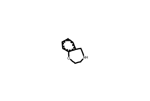 [c]1ccc2c(c1)CNCCO2